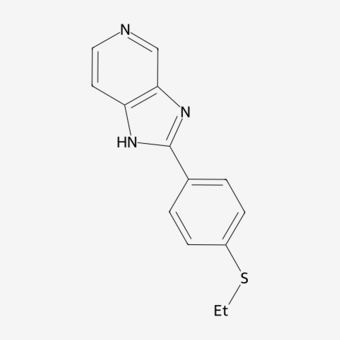 CCSc1ccc(-c2nc3cnccc3[nH]2)cc1